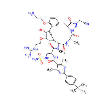 Cc1nc(-c2ccc(C(C)(C)C)cc2)nc(C)c1C(=O)N[C@@H](CNS(N)(=O)=O)C(=O)N(C)[C@@H]1C(=O)N[C@@H](C)C(=O)N[C@H](C(=O)NCC#N)Cc2ccc(OCCN)c(c2)-c2cc1cc(OCCNC(=N)N)c2O